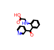 O=C(O)CNc1ccccc1C(=O)c1cccnc1